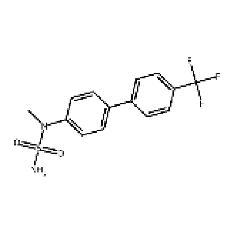 CN(c1ccc(-c2ccc(C(F)(F)F)cc2)cc1)S(N)(=O)=O